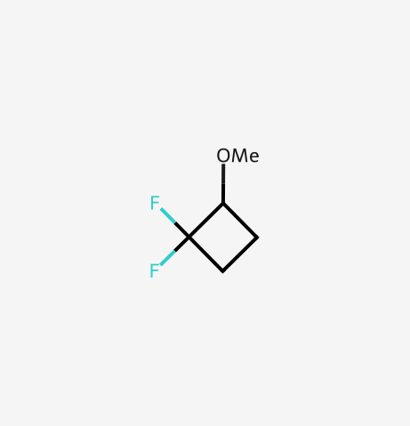 COC1CCC1(F)F